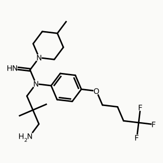 CC1CCN(C(=N)N(CC(C)(C)CN)c2ccc(OCCCC(F)(F)F)cc2)CC1